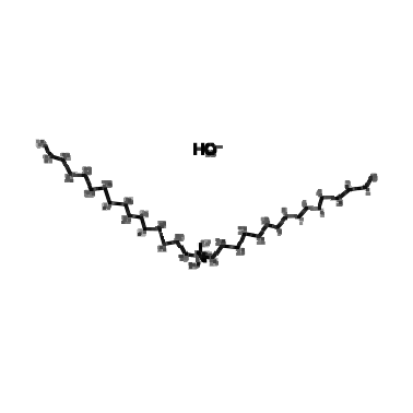 CCCCCCCCCCCCCCCC[N+](C)(C)CCCCCCCCCCCCCCCC.[OH-]